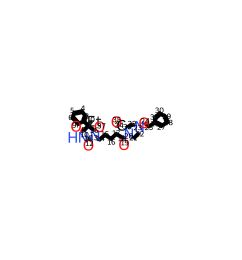 CCC1(c2ccccc2)C(=O)NC(=O)N(CCCCC(=O)N2CCN(OCc3ccccc3)CC2=C=O)C1=O